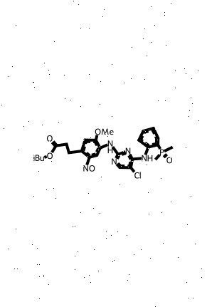 CCC(C)OC(=O)CCc1cc(OC)c(Nc2ncc(Cl)c(Nc3ccccc3P(C)(C)=O)n2)cc1N=O